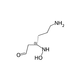 NCCC[C@@H](CC=O)NO